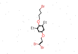 CCc1cc(OCC=C(Br)Br)cc(CC)c1OCCCCBr